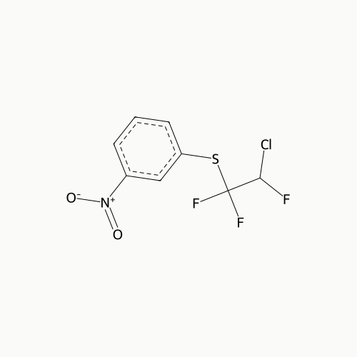 O=[N+]([O-])c1cccc(SC(F)(F)C(F)Cl)c1